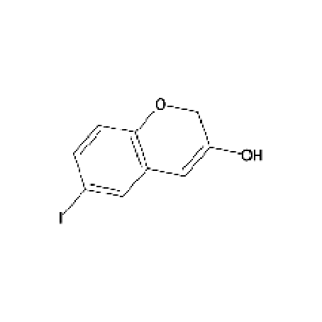 OC1=Cc2cc(I)ccc2OC1